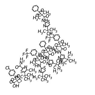 CC(C)(C)c1cc(NC(=O)C(C)(C)S(=O)(=O)c2cccc(C(F)(F)F)c2)no1.CC(C)(C)c1cc(NC(=O)C(C)(C)S(=O)(=O)c2ccccc2)no1.CC(C)(C)c1csc(NC(=O)C(C)(C)S(=O)(=O)c2cccc(C(F)(F)F)c2)n1.CC(C)(C)c1csc(NC(=O)C(C)(C)S(=O)(=O)c2ccccc2)n1.Cc1nc(C(N)=O)sc1C(C)(C)C.O=C(O)C1(S(=O)(=O)c2ccc(Cl)cc2)CCC1